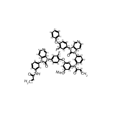 C=CC(=O)Nc1cccc(-n2c(=O)n(-c3ccc(Oc4cc(OC)cc(N(C(=O)C=C)c5cccc(-n6c(=O)n(-c7ccc(Oc8ccccc8)c(F)c7)c7cnccc76)c5)c4)c(F)c3)c3cnccc32)c1